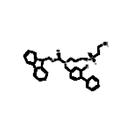 NCCS(=O)(=O)NCCCN(Cc1ccc(-c2ccccc2)c(Cl)c1)C(=O)OCC1c2ccccc2-c2ccccc21